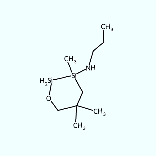 CCCN[Si]1(C)CC(C)(C)CO[SiH2]1